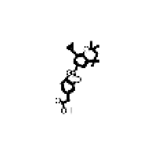 CC1(C)CC(C)(C)c2cc(B3Oc4ccc(CC(=O)O)cc4O3)cc(C3CC3)c2O1